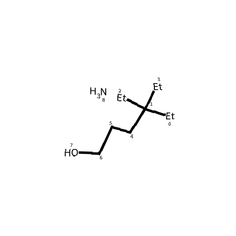 CCC(CC)(CC)CCCO.N